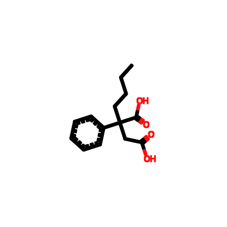 CCCCC(CC(=O)O)(C(=O)O)c1ccccc1